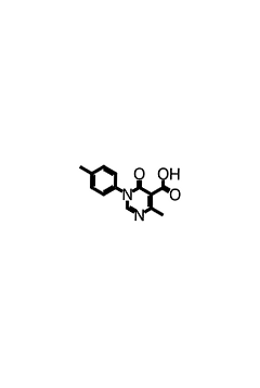 Cc1ccc(-n2cnc(C)c(C(=O)O)c2=O)cc1